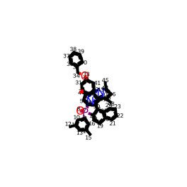 Cc1cc(C)cc(P(=O)(c2cc(C)cc(C)c2)c2ccc3ccccc3c2-c2nc3ccc(OCc4ccccc4)cc3n3c(C)cc(C)c23)c1